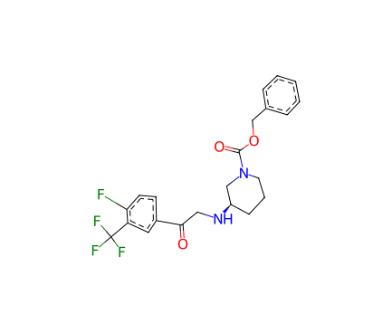 O=C(CN[C@@H]1CCCN(C(=O)OCc2ccccc2)C1)c1ccc(F)c(C(F)(F)F)c1